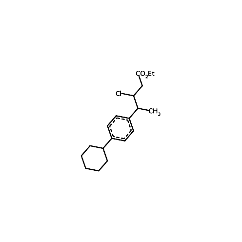 CCOC(=O)CC(Cl)C(C)c1ccc(C2CCCCC2)cc1